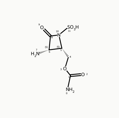 NC(=O)OC[C@@H]1[C@H](N)C(=O)N1S(=O)(=O)O